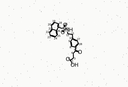 O=C(O)CCC(=O)c1ccc(CCNS(=O)(=O)c2cccc3ccccc23)cc1